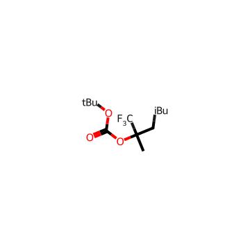 CCC(C)CC(C)(OC(=O)OC(C)(C)C)C(F)(F)F